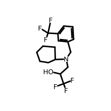 OC(CN(Cc1cccc(C(F)(F)F)c1)C1CCCCC1)C(F)(F)F